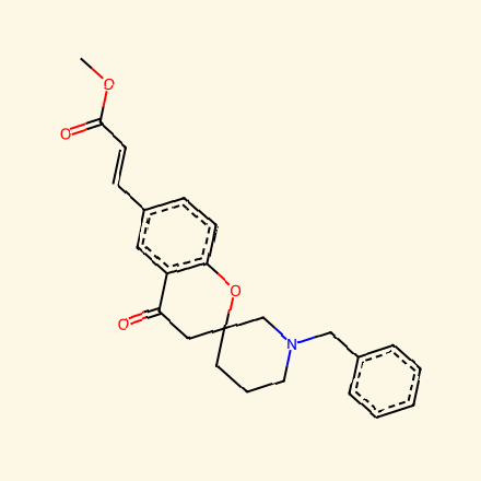 COC(=O)/C=C/c1ccc2c(c1)C(=O)CC1(CCCN(Cc3ccccc3)C1)O2